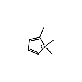 C[C]1=CC=[CH][Ge]1([CH3])[CH3]